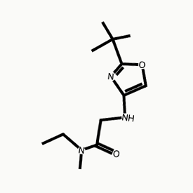 CCN(C)C(=O)CNc1coc(C(C)(C)C)n1